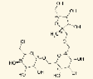 C[C@@]1(COC[C@H]2OC(CO[C@H]3OC(CO)[C@H](O)C(O)C3O)[C@@H](O)C(O)C2O)O[C@H](CO)C(O)C1O